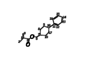 C=C(C)C(=O)OCC1CCC(c2ccccc2)CC1